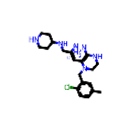 Cc1ccc(Cl)c(CN2CCNC(N)=C2/C=C(\N)CNC2CCNCC2)c1